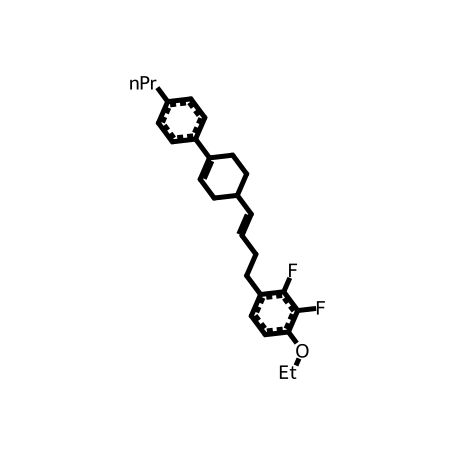 CCCc1ccc(C2=CCC(/C=C/CCc3ccc(OCC)c(F)c3F)CC2)cc1